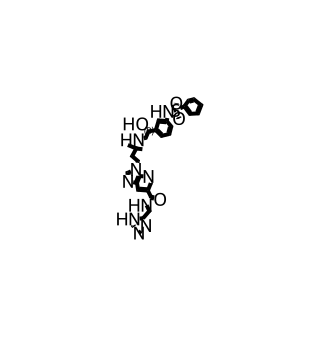 CC(C)(CCn1cnc2cc(C(=O)NCc3nnc[nH]3)cnc21)NC[C@H](O)c1cccc(NS(=O)(=O)c2ccccc2)c1